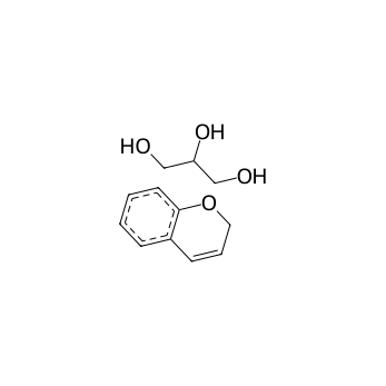 C1=Cc2ccccc2OC1.OCC(O)CO